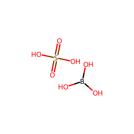 O=S(=O)(O)O.OB(O)O